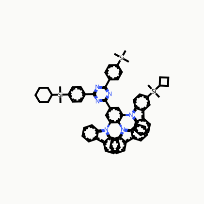 C[Si](C)(C)c1ccc(-c2nc(-c3ccc([Si](C)(C)C4CCCCC4)cc3)nc(-c3cc(-n4c5ccccc5c5ccccc54)c(-n4c5ccccc5c5ccccc54)c(-n4c5ccccc5c5cc([Si](C)(C)C6CCC6)ccc54)c3)n2)cc1